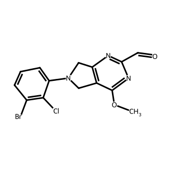 COc1nc(C=O)nc2c1CN(c1cccc(Br)c1Cl)C2